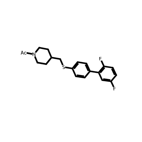 CC(=O)N1CCC(CSc2ccc(-c3cc(F)ccc3F)cc2)CC1